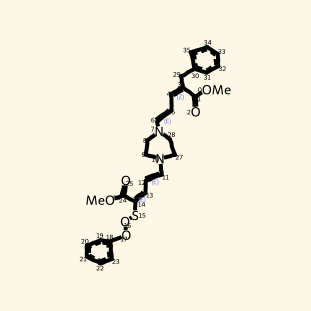 COC(=O)/C(=C\C=C\N1CCN(/C=C/C=C(/SOOc2ccccc2)C(=O)OC)CC1)Cc1ccccc1